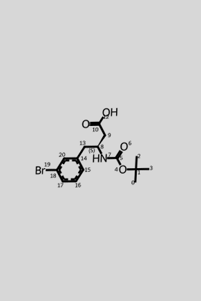 CC(C)(C)OC(=O)N[C@H](CC(=O)O)Cc1cccc(Br)c1